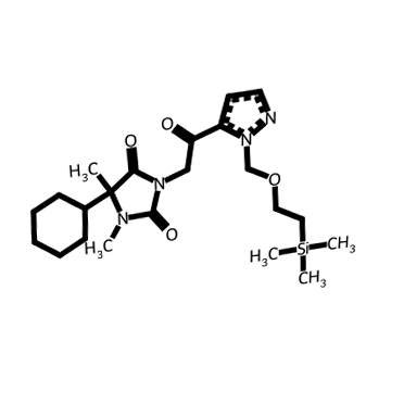 CN1C(=O)N(CC(=O)c2ccnn2COCC[Si](C)(C)C)C(=O)C1(C)C1CCCCC1